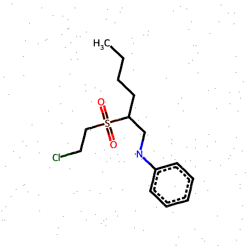 CCCCC(C[N]c1ccccc1)S(=O)(=O)CCCl